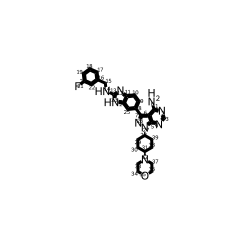 Nc1ncnc2c1c(-c1ccc3nc(NCc4cccc(F)c4)[nH]c3c1)nn2[C@H]1CC[C@H](N2CCOCC2)CC1